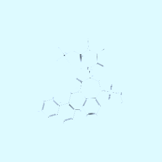 CNS(=O)(=O)N1C[C@H](NC(=O)[C@H](C)N(C)C(=O)OC(C)(C)C)C(=O)N(Cc2c(C)ccc3ccccc23)c2ccccc21